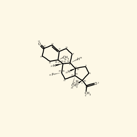 CC(=O)[C@@]1(O)CC[C@H]2[C@@H]3CCC4=CC(=O)CC[C@]4(C)[C@H]3[C@@H](F)C[C@@]21C